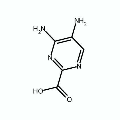 Nc1cnc(C(=O)O)nc1N